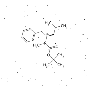 CC(C)C[C@H](Cc1ccccc1)N(C)C(=O)OC(C)(C)C